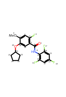 COc1cc(F)c(C(=O)Nc2c(F)cc(F)cc2F)cc1OC1CCCC1